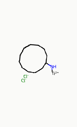 [Cl-].[Cl-].[Ti+2][NH]C1CCCCCCCCCCC1